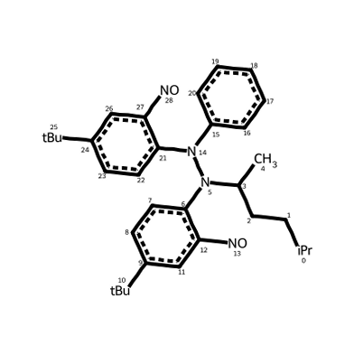 CC(C)CCC(C)N(c1ccc(C(C)(C)C)cc1N=O)N(c1ccccc1)c1ccc(C(C)(C)C)cc1N=O